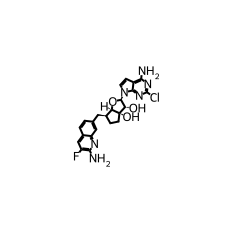 Nc1nc2cc(C[C@@H]3CC[C@@]4(O)[C@@H]3O[C@@H](n3ccc5c(N)nc(Cl)nc53)[C@@H]4O)ccc2cc1F